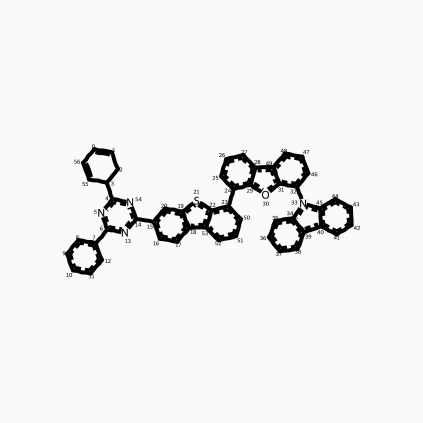 C1=CCC(c2nc(-c3ccccc3)nc(-c3ccc4c(c3)sc3c(-c5cccc6c5oc5c(-n7c8ccccc8c8ccccc87)cccc56)cccc34)n2)C=C1